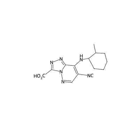 [C-]#[N+]c1cnn2c(C(=O)O)nnc2c1NC1CCCCC1C